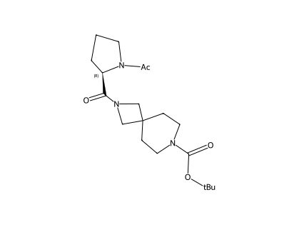 CC(=O)N1CCC[C@@H]1C(=O)N1CC2(CCN(C(=O)OC(C)(C)C)CC2)C1